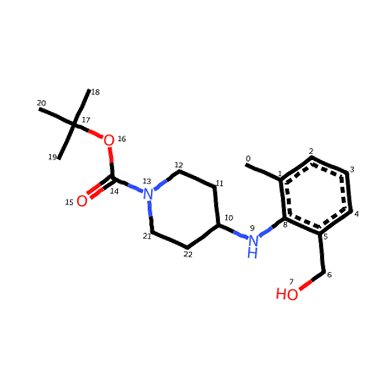 Cc1cccc(CO)c1NC1CCN(C(=O)OC(C)(C)C)CC1